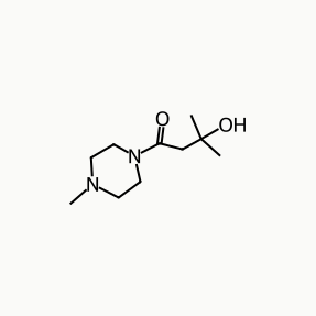 CN1CCN(C(=O)CC(C)(C)O)CC1